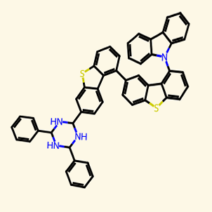 c1ccc(C2NC(c3ccccc3)NC(c3ccc4c(c3)sc3cccc(-c5ccc6sc7cccc(-n8c9ccccc9c9ccccc98)c7c6c5)c34)N2)cc1